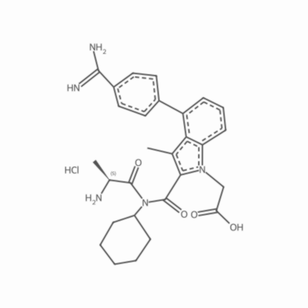 Cc1c(C(=O)N(C(=O)[C@H](C)N)C2CCCCC2)n(CC(=O)O)c2cccc(-c3ccc(C(=N)N)cc3)c12.Cl